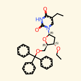 CCO[C@H]1C[C@H](n2cc(CC)c(=O)[nH]c2=O)O[C@@H]1COC(c1ccccc1)(c1ccccc1)c1ccccc1